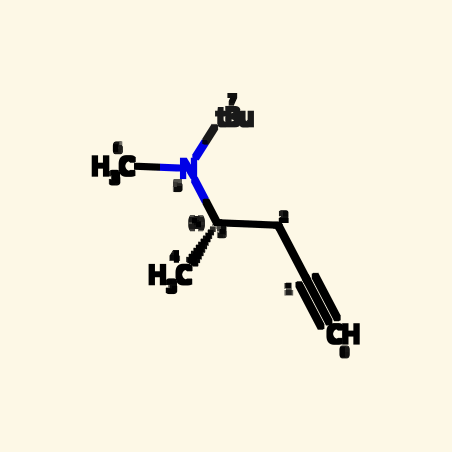 C#CC[C@H](C)N(C)C(C)(C)C